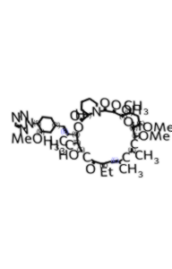 CC[C@@H]1/C=C(\C)C[C@H](C)C[C@H](OC)[C@H]2O[C@@](O)(C(=O)C(=O)N3CCCC[C@H]3C(=O)O[C@H](/C(C)=C/[C@@H]3CC[C@H](n4ncnn4)[C@H](OC)C3)[C@H](C)[C@@H](O)CC1=O)[C@H](C)C[C@@H]2OC